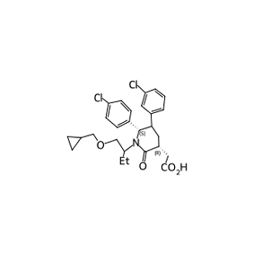 CCC(COCC1CC1)N1C(=O)[C@@H](CC(=O)O)CC(c2cccc(Cl)c2)[C@H]1c1ccc(Cl)cc1